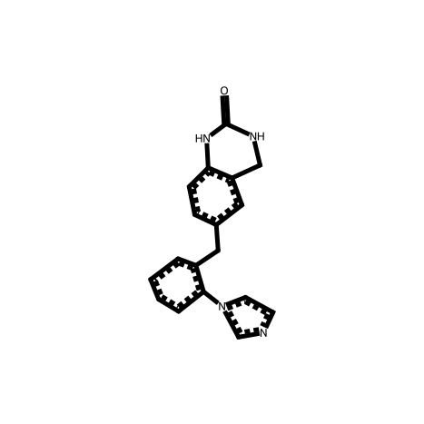 O=C1NCc2cc(Cc3ccccc3-n3ccnc3)ccc2N1